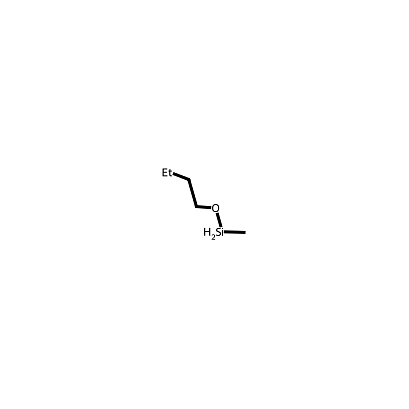 CCCCO[SiH2]C